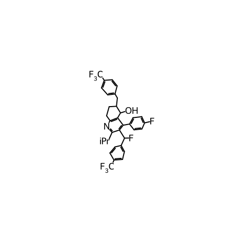 CC(C)c1nc2c(c(-c3ccc(F)cc3)c1C(F)c1ccc(C(F)(F)F)cc1)C(O)C(Cc1ccc(C(F)(F)F)cc1)CC2